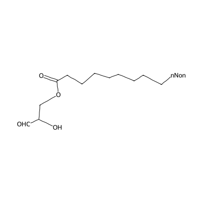 CCCCCCCCCCCCCCCCCC(=O)OCC(O)C=O